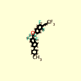 CC1CCC(c2ccc3c(F)c(C(F)(F)Oc4ccc5c(F)c(C#CC(F)(F)F)c(F)cc5c4)c(F)cc3c2)CC1